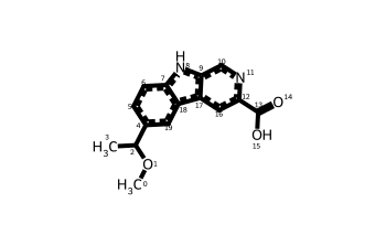 COC(C)c1ccc2[nH]c3cnc(C(=O)O)cc3c2c1